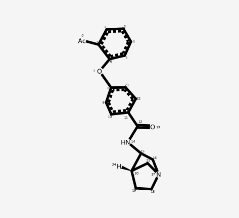 CC(=O)c1ccccc1Oc1ccc(C(=O)NC2CN3CC[C@H]2C3)cc1